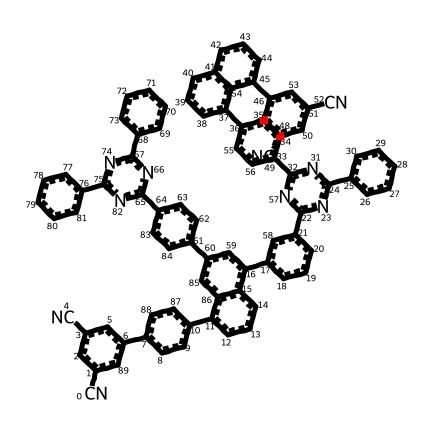 N#Cc1cc(C#N)cc(-c2ccc(-c3cccc4c(-c5cccc(-c6nc(-c7ccccc7)nc(-c7ccc(-c8cccc9cccc(-c%10cc(C#N)cc(C#N)c%10)c89)cc7)n6)c5)cc(-c5ccc(-c6nc(-c7ccccc7)nc(-c7ccccc7)n6)cc5)cc34)cc2)c1